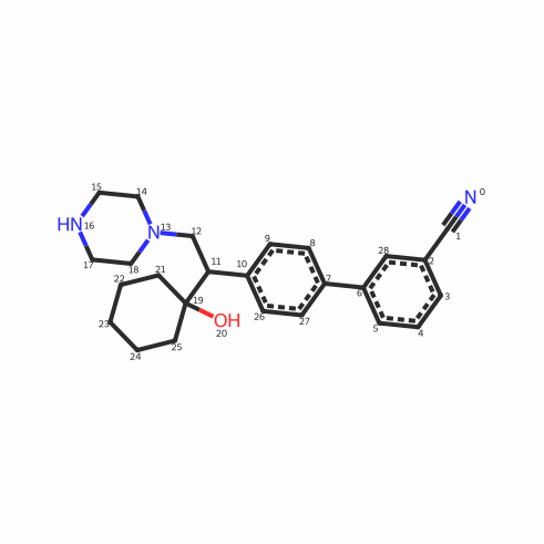 N#Cc1cccc(-c2ccc(C(CN3CCNCC3)C3(O)CCCCC3)cc2)c1